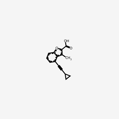 Cc1c(C(=O)O)oc2cccc(C#CC3CC3)c12